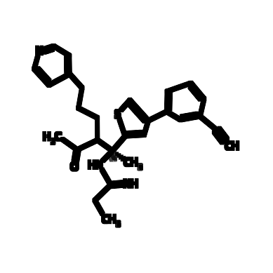 C#Cc1cccc(-c2csc([C@@](C)(NC(=N)CC)C(CCCc3ccncc3)C(C)=O)c2)c1